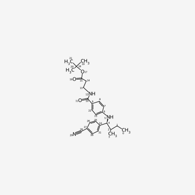 CCC(C)[C@H](Nc1ccc(C(=O)NCCC(=O)OC(C)(C)C)cc1)c1ccc(C#N)cc1